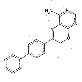 Nc1ncnc2c1N=C(c1ccc(-c3ccccc3)cc1)CO2